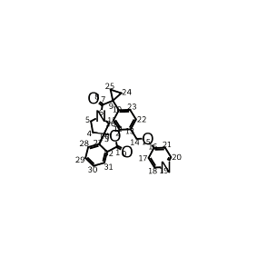 O=C1O[C@]2(CCN(C(=O)C3(c4ccc(COc5ccncc5)cc4)CC3)C2)c2ccccc21